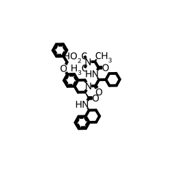 C[C@@H](C(=O)N[C@H](C(=O)N1Cc2cc(OCc3ccccc3)ccc2C[C@@H]1C(=O)N[C@H]1CCCc2ccccc21)C1CCCCC1)N(C)C(=O)O